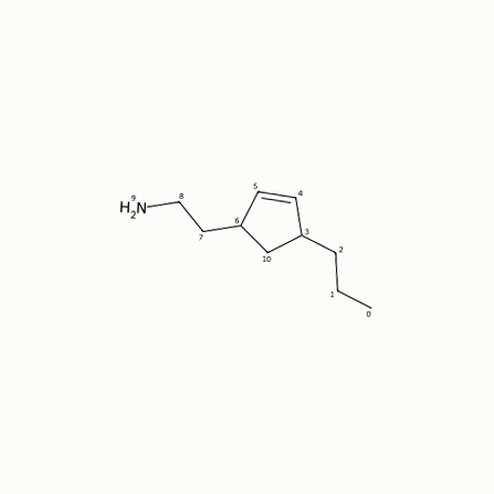 CCCC1C=CC(CCN)C1